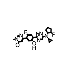 Cn1cnc(-c2cc(O)c(-c3ncc(N(C4CC4)C4CCCC4F)nn3)cc2F)cc1=O